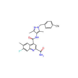 Cc1cc2c(C(=O)Nc3c(C)nn(Cc4ccc(C#N)cc4)c3C)cc(C(N)=O)nc2cc1F